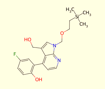 C[Si](C)(C)CCOCn1cc(CO)c2c(-c3cc(F)ccc3O)ccnc21